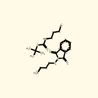 CC(C)(C)OC(=O)NCCCBr.NCCCON1C(=O)c2ccccc2C1=O